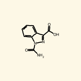 NC(=O)n1nc(C(=O)O)c2ccccc21